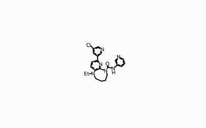 CCN1CCCCN(C(=O)Nc2cccnc2)c2nc(-c3cncc(Cl)c3)ccc21